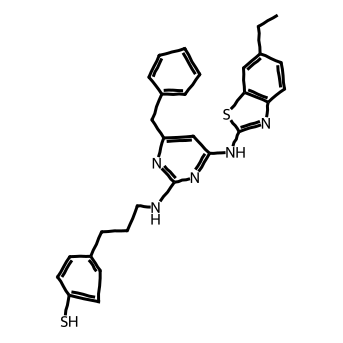 CCc1ccc2nc(Nc3cc(Cc4ccccc4)nc(NCCCc4ccc(S)cc4)n3)sc2c1